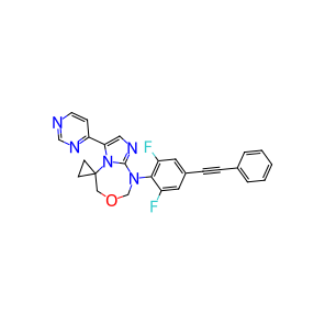 Fc1cc(C#Cc2ccccc2)cc(F)c1N1COCC2(CC2)n2c(-c3ccncn3)cnc21